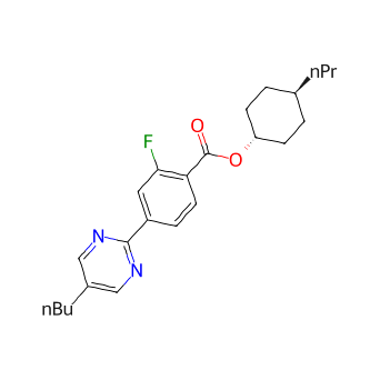 CCCCc1cnc(-c2ccc(C(=O)O[C@H]3CC[C@H](CCC)CC3)c(F)c2)nc1